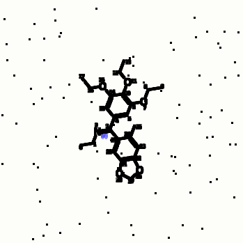 CC/N=C(/c1cc(OCC)c(OCC)c(OCC)c1)c1cc2c(cc1C)OCO2